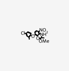 COC(=O)C(C)Nc1cc(Oc2ccc(Cl)cc2C)ccc1[N+](=O)[O-]